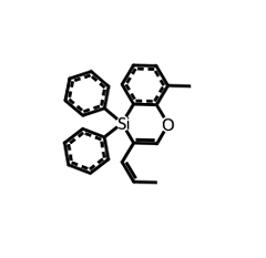 C/C=C\C1=COc2c(C)cccc2[Si]1(c1ccccc1)c1ccccc1